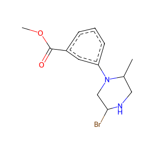 COC(=O)c1cccc(N2CC(Br)NCC2C)c1